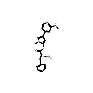 CNc1cc(-c2cc(NC(=O)[C@@H](N)Cc3ccccc3)n(C)n2)ccn1